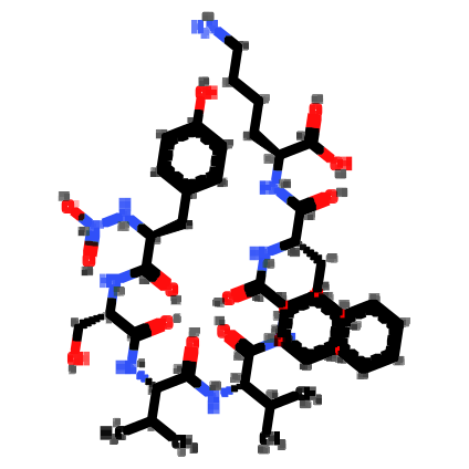 CC(C)[C@H](NC(=O)[C@H](CO)NC(=O)[C@H](Cc1ccc(O)cc1)N[N+](=O)[O-])C(=O)N[C@H](C(=O)N[C@@H](Cc1ccccc1)C(=O)N[C@@H](Cc1ccccc1)C(=O)N[C@@H](CCCCN)C(=O)O)C(C)C